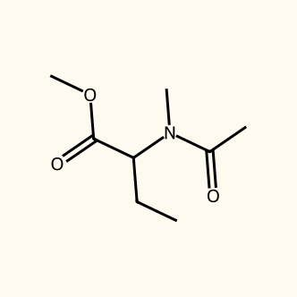 CCC(C(=O)OC)N(C)C(C)=O